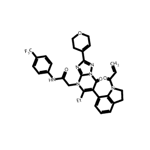 C=CC(=O)N1CCc2cccc(-c3c(CC)n(CC(=O)Nc4ccc(C(F)(F)F)cc4)c4nc(C5=CCOCC5)nn4c3=O)c21